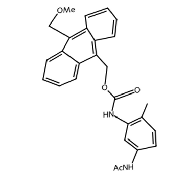 COCc1c2ccccc2c(COC(=O)Nc2cc(NC(C)=O)ccc2C)c2ccccc12